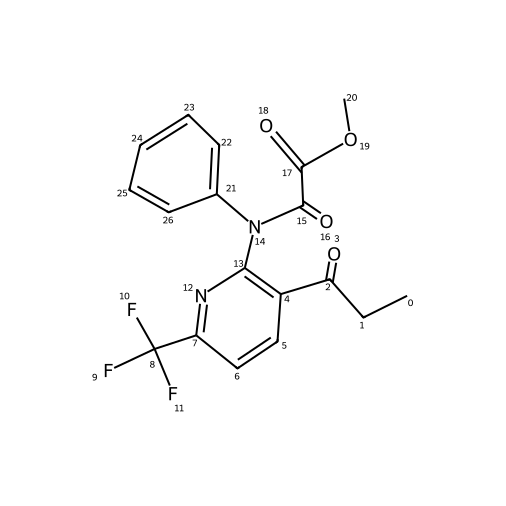 CCC(=O)c1ccc(C(F)(F)F)nc1N(C(=O)C(=O)OC)c1ccccc1